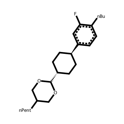 CCCCCC1COC([C@H]2CC[C@H](c3ccc(CCCC)c(F)c3)CC2)OC1